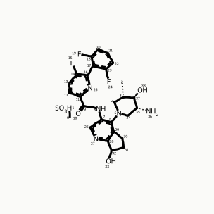 CS(=O)(=O)O.C[C@H]1CN(c2c(NC(=O)c3ccc(F)c(-c4c(F)cccc4F)n3)cnc3c2CCC3O)C[C@@H](N)[C@@H]1O